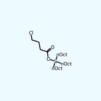 CCCCCCCC[Si](CCCCCCCC)(CCCCCCCC)OC(=O)CCCCl